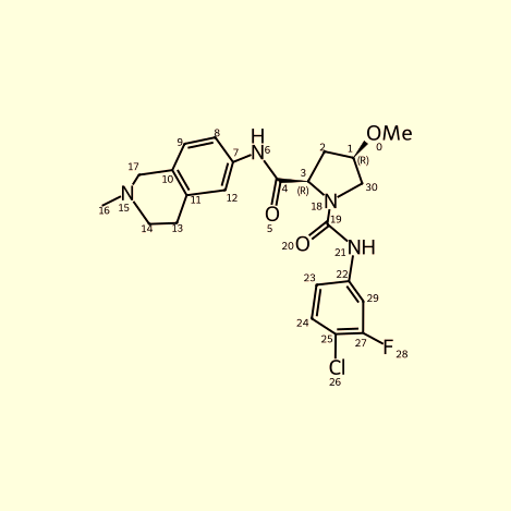 CO[C@@H]1C[C@H](C(=O)Nc2ccc3c(c2)CCN(C)C3)N(C(=O)Nc2ccc(Cl)c(F)c2)C1